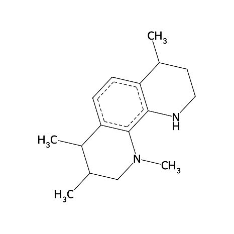 CC1CCNc2c1ccc1c2N(C)CC(C)C1C